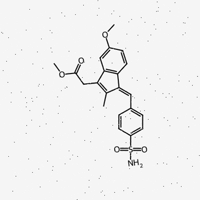 COC(=O)CC1=C(C)C(=Cc2ccc(S(N)(=O)=O)cc2)c2ccc(OC)cc21